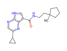 N#CC1(CCNC(=O)c2c[nH]c3ncc(C4CC4)nc23)CCCC1